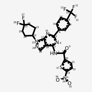 O=C(Nc1nc(-c2ccc(C(F)(F)F)cc2)nc2c1cnn2C1CCC(F)(F)CC1)c1ccc([N+](=O)[O-])s1